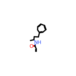 C=CC(=O)NC(C)CCC1=CC=CC=CC1